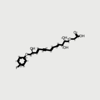 O=C(O)COC[C@@H](O)[C@H](O)C=CC=CC#CC=C[C@H](O)COc1ccc(F)cc1